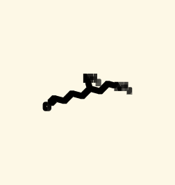 NCCC(N)CCCC=O